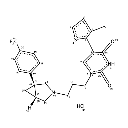 Cc1ccsc1-c1cn(CCCN2C[C@@H]3C[C@]3(c3ccc(C(F)(F)F)cc3)C2)c(=O)[nH]c1=O.Cl